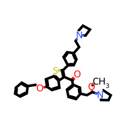 COC(Cc1cccc(C(=O)c2c(-c3ccc(CCN4CCCC4)cc3)sc3cc(OCc4ccccc4)ccc23)c1)N1CCCC1